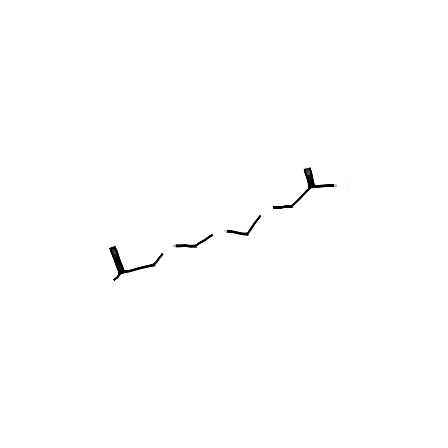 O=C(O)COCOCOCC(=O)O